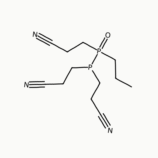 CCCP(=O)(CCC#N)P(CCC#N)CCC#N